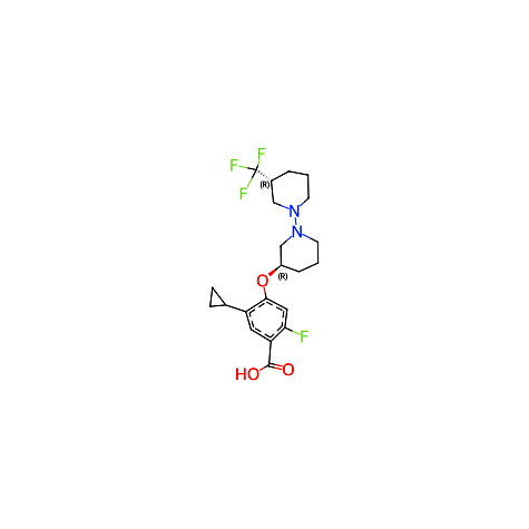 O=C(O)c1cc(C2CC2)c(O[C@@H]2CCCN(N3CCC[C@@H](C(F)(F)F)C3)C2)cc1F